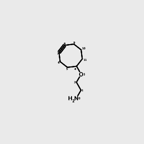 NCCOC1CCC#CCCC1